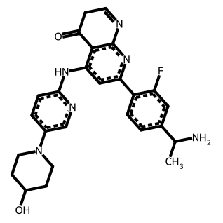 CC(N)c1ccc(-c2cc(Nc3ccc(N4CCC(O)CC4)cn3)c3c(n2)N=CCC3=O)c(F)c1